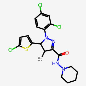 CCC1C(C(=O)NN2CCCCC2)=NN(c2ccc(Cl)cc2Cl)C1c1ccc(Cl)s1